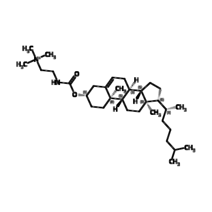 CC(C)CCC[C@@H](C)[C@H]1CC[C@H]2[C@@H]3CC=C4C[C@@H](OC(=O)NCC[N+](C)(C)C)CC[C@]4(C)[C@H]3CC[C@]12C